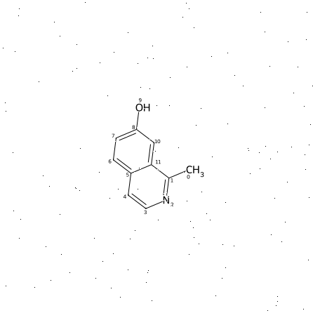 Cc1nccc2ccc(O)cc12